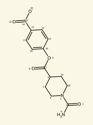 NC(=O)N1CCC(C(=O)Oc2ccc([N+](=O)[O-])cc2)CC1